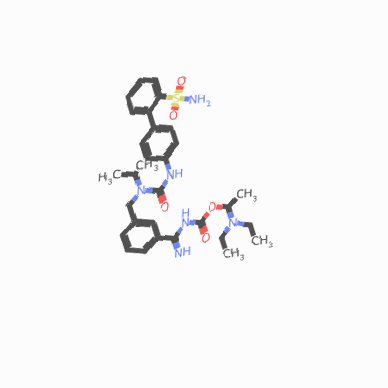 CCN(CC)C(C)OC(=O)NC(=N)c1cccc(CN(C(=O)Nc2ccc(-c3ccccc3S(N)(=O)=O)cc2)C(C)C)c1